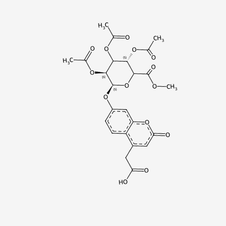 COC(=O)C1O[C@@H](Oc2ccc3c(CC(=O)O)cc(=O)oc3c2)[C@@H](OC(C)=O)C(OC(C)=O)[C@@H]1OC(C)=O